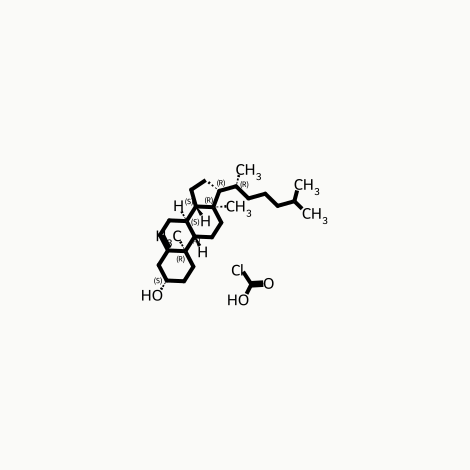 CC(C)CCC[C@@H](C)[C@H]1CC[C@H]2[C@@H]3CC=C4C[C@@H](O)CC[C@]4(C)[C@H]3CC[C@]12C.O=C(O)Cl